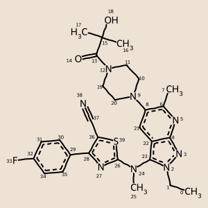 CCn1nc2nc(C)c(N3CCN(C(=O)C(C)(C)O)CC3)cc2c1N(C)c1nc(-c2ccc(F)cc2)c(C#N)s1